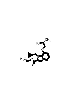 CCOC(=O)c1cc2cccc(OC[C@@H](C)O)c2n1CC1CC1